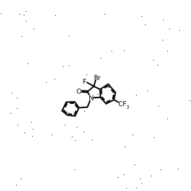 O=C1N(Cc2ccccc2)c2cc(C(F)(F)F)ccc2C1(F)Br